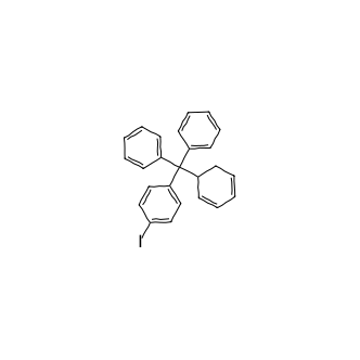 Ic1ccc(C(c2ccccc2)(c2ccccc2)C2C=CC=CC2)cc1